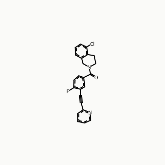 O=C(c1ccc(F)c(C#Cc2ccccn2)c1)N1CCc2c(Cl)cccc2C1